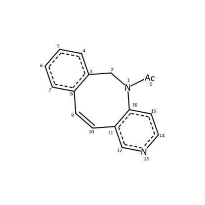 CC(=O)N1Cc2ccccc2/C=C\c2cnccc21